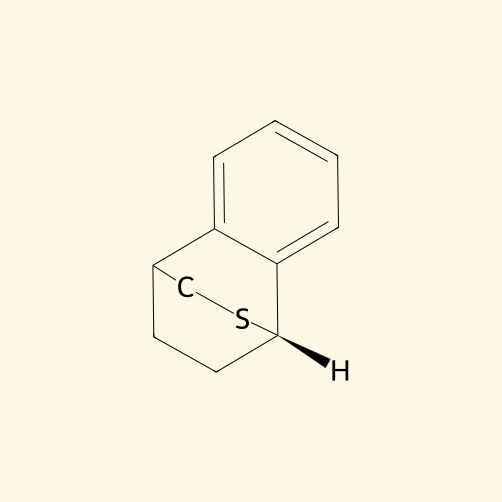 c1ccc2c(c1)C1CC[C@@H]2SC1